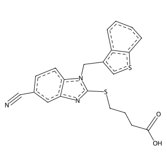 N#Cc1ccc2c(c1)nc(SCCCC(=O)O)n2Cc1csc2ccccc12